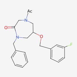 CC(=O)N1CC(=O)N(Cc2ccccc2)CC(OCc2cccc(F)c2)C1